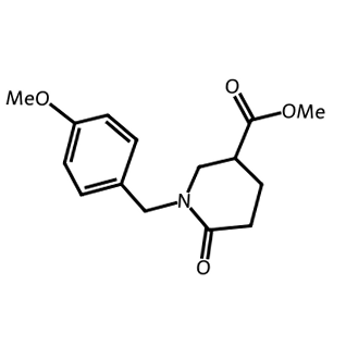 COC(=O)C1CCC(=O)N(Cc2ccc(OC)cc2)C1